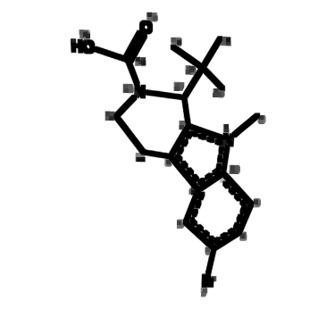 Cn1c2c(c3cc(Br)ccc31)CCN(C(=O)O)C2C(C)(C)C